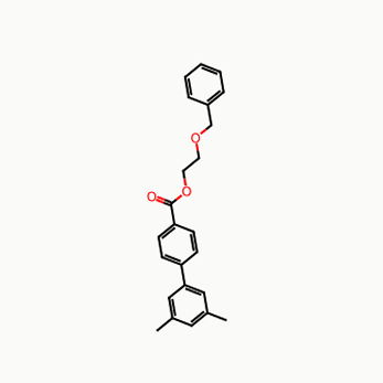 Cc1cc(C)cc(-c2ccc(C(=O)OCCOCc3ccccc3)cc2)c1